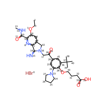 Br.CCOc1cc2c(nc1C(=O)NC)C(=N)N(CC(=O)c1cc(N3CCCC3)c(OCCCC(=O)O)c(C(C)(C)C)c1)C2